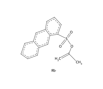 C=C(C)OS(=O)(=O)c1cccc2cc3ccccc3cc12.[Rb]